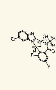 [2H]C([2H])([2H])N1C(=O)c2cc(F)cc(F)c2[C@H]2C[C@@H]1c1nc3ccc(Cl)cc3n12